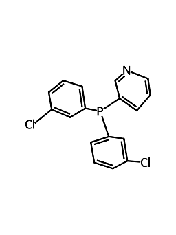 Clc1cccc(P(c2cccnc2)c2cccc(Cl)c2)c1